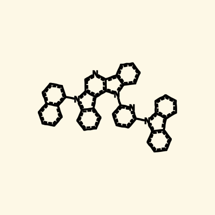 c1cc(-n2c3ccccc3c3ccccc32)nc(-n2c3ccccc3c3ncc4c(c5ccccc5n4-c4cccc5ccccc45)c32)c1